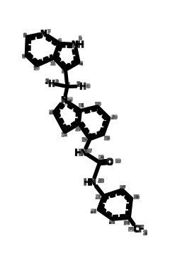 [2H]C([2H])(c1c[nH]c2ncccc12)n1ccc2c(NC(=O)Nc3ccc(C(F)(F)F)cc3)cccc21